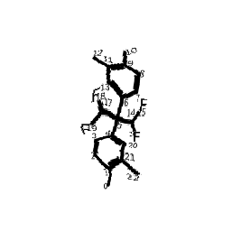 Cc1ccc(C(c2ccc(C)c(C)c2)(C(F)F)C(F)F)cc1C